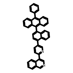 c1ccc(-c2c3ccccc3c(-c3ccc(-c4ccc(-c5cncc6ccccc56)nc4)c4ccccc34)c3ccccc23)cc1